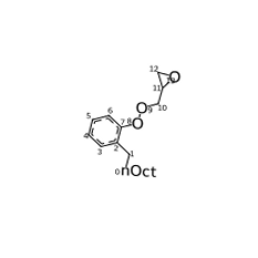 CCCCCCCCCc1ccccc1OOCC1CO1